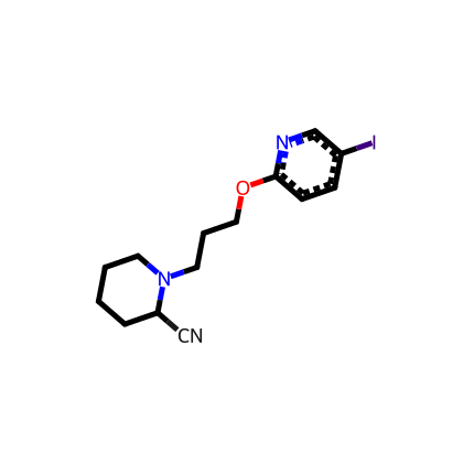 N#CC1CCCCN1CCCOc1ccc(I)cn1